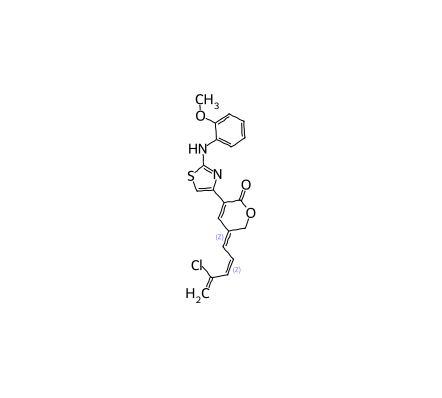 C=C(Cl)/C=C\C=C1\C=C(c2csc(Nc3ccccc3OC)n2)C(=O)OC1